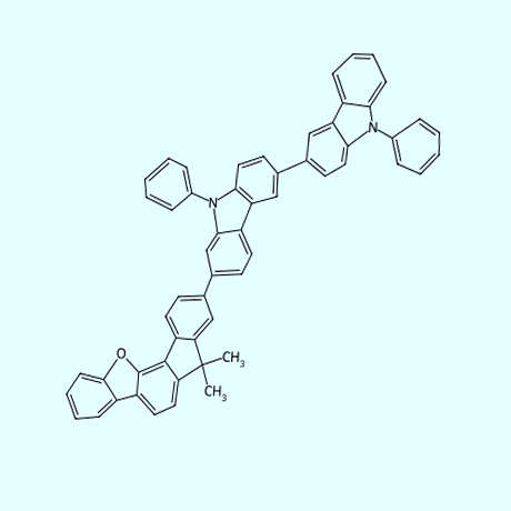 CC1(C)c2cc(-c3ccc4c5cc(-c6ccc7c(c6)c6ccccc6n7-c6ccccc6)ccc5n(-c5ccccc5)c4c3)ccc2-c2c1ccc1c2oc2ccccc21